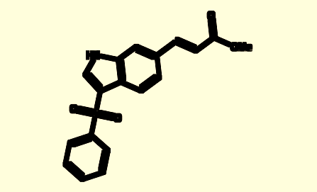 COC(=O)/C=C/c1ccc2c(S(=O)(=O)c3ccccc3)c[nH]c2c1